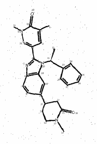 Cc1cc(-c2nc3ccc(C4CCN(C)C(=O)C4)cc3n2[C@@H](C)c2ccccc2)nn(C)c1=O